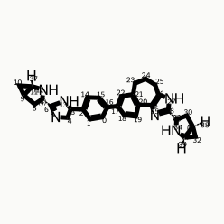 c1cc(C2CN=C([C@@H]3CC4C[C@H]4N3)N2)ccc1-c1ccc2c(c1)CCCc1[nH]c([C@@H]3C[C@H]4C[C@H]4N3)nc1-2